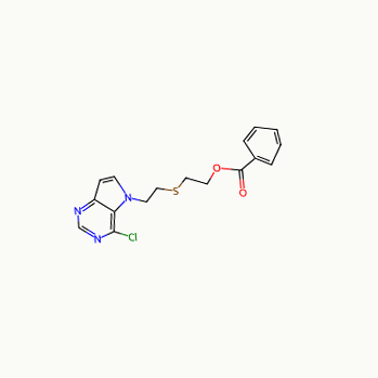 O=C(OCCSCCn1ccc2ncnc(Cl)c21)c1ccccc1